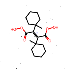 CC1(/C(C(=O)OO)=C(\C(=O)OO)C2(C)CCCCC2)CCCCC1